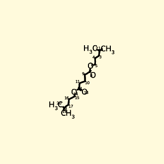 CC(C)CCCOC(=O)CCCC(=O)OCCCC(C)C